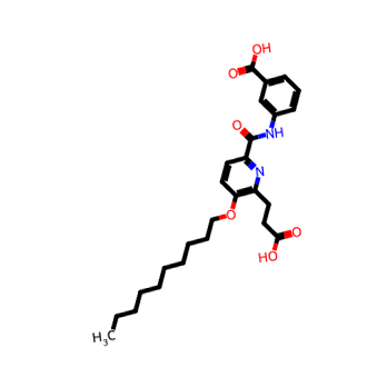 CCCCCCCCCCOc1ccc(C(=O)Nc2cccc(C(=O)O)c2)nc1CCC(=O)O